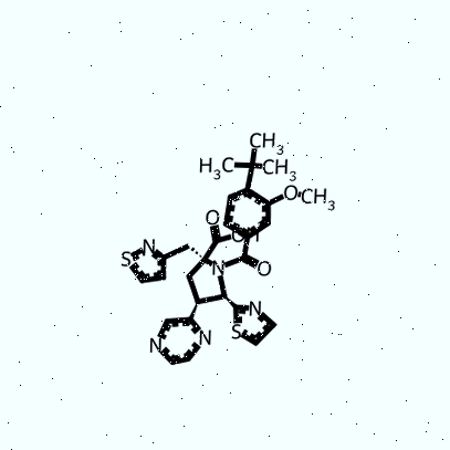 COc1cc(C(=O)N2[C@@H](c3nccs3)[C@@H](c3cnccn3)C[C@@]2(Cc2ccsn2)C(=O)O)ccc1C(C)(C)C